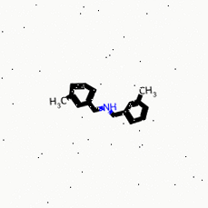 Cc1cccc(CNCc2cccc(C)c2)c1